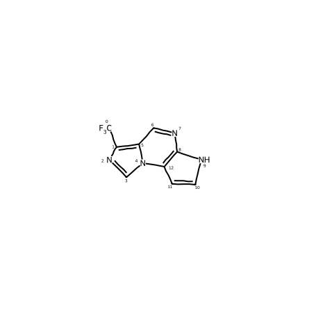 FC(F)(F)c1ncn2c1cnc1[nH]ccc12